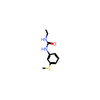 CCNC(=O)Nc1cccc(SC)c1